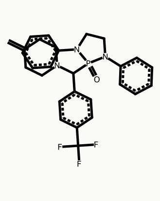 C=C1CCN(C(c2ccc(C(F)(F)F)cc2)P2(=O)N(c3ccccc3)CCN2c2ccccc2)CC1